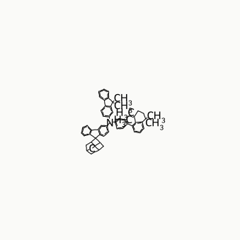 CC1(C)CCC(C)(C)c2c(-c3ccc(N(c4ccc5c(c4)-c4ccccc4C54C5CC6CC7CC4C75C6)c4ccc5c(c4)C(C)(C)c4ccccc4-5)cc3)cccc21